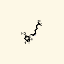 O=C(O)CCC/C=C\C[C@H]1[C@H]2O[C@H]2C[C@H]1O